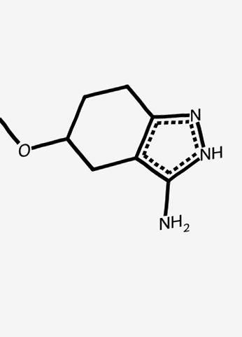 COC1CCc2n[nH]c(N)c2C1